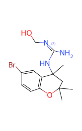 CC1(C)CC(C)(N/C(N)=N\CO)c2cc(Br)ccc2O1